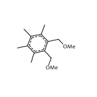 COCc1c(C)c(C)c(C)c(C)c1COC